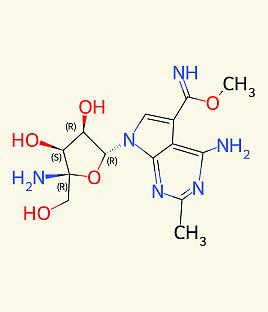 COC(=N)c1cn([C@@H]2O[C@](N)(CO)[C@@H](O)[C@H]2O)c2nc(C)nc(N)c12